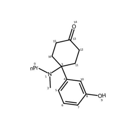 CCCN(C)C1(c2cccc(O)c2)CCC(=O)CC1